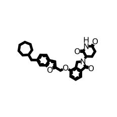 O=C1CCC(N2Cc3c(OCc4cc5ccc(CC6CCCCCC6)cc5o4)cccc3C2=O)C(=O)N1